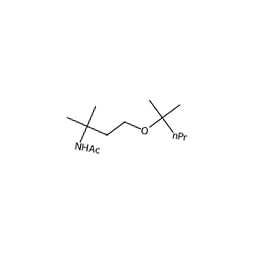 CCCC(C)(C)OCCC(C)(C)NC(C)=O